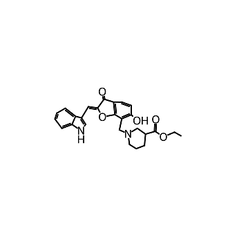 CCOC(=O)C1CCCN(Cc2c(O)ccc3c2O/C(=C\c2c[nH]c4ccccc24)C3=O)C1